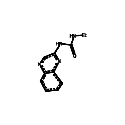 CCNC(=O)Nc1cnc2ccccc2n1